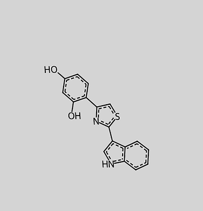 Oc1ccc(-c2csc(-c3c[nH]c4ccccc34)n2)c(O)c1